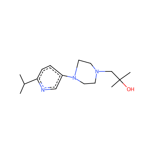 CC(C)c1ccc(N2CCN(CC(C)(C)O)CC2)cn1